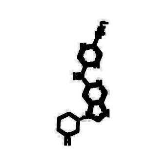 [C-]#[N+]c1cnc(Nc2cc3c(cn2)ncn3[C@H]2CCCNC2)cn1